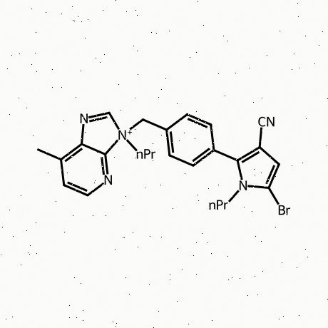 CCCn1c(Br)cc(C#N)c1-c1ccc(C[N+]2(CCC)C=Nc3c(C)ccnc32)cc1